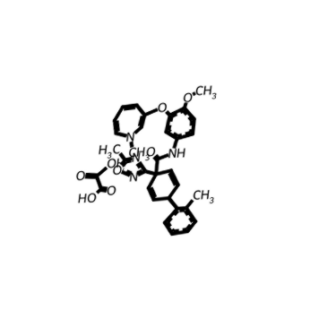 COc1ccc(NC(=O)C2(c3noc(C)n3)C=CC(c3ccccc3C)C=C2)cc1OC1=CN(C)C=CC=C1.O=C(O)C(=O)O